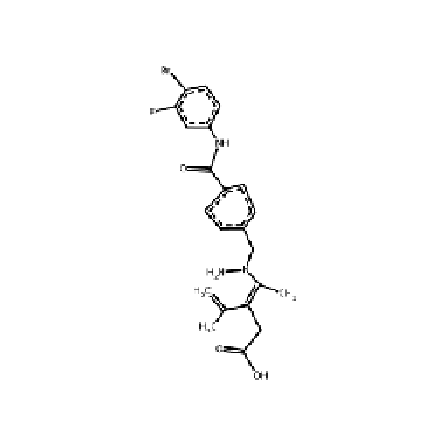 C=C(C)/C(CC(=O)O)=C(/C)N(N)Cc1ccc(C(=O)Nc2ccc(Br)c(F)c2)cc1